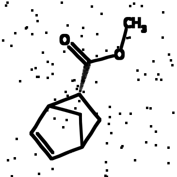 COC(=O)[C@@H]1CC2C=CC1C2